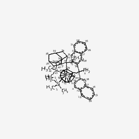 C[Si](C)(C)[C]12[CH]3[C]4(C(P)(c5ccc6ccccc6n5)c5ccc6ccccc6n5)[C]5(C6(CP)C7CC8CC(C7)CC6C8)[C]1([Si](C)(C)C)[Fe]34521678[CH]2[CH]1[CH]6[CH]7[CH]28